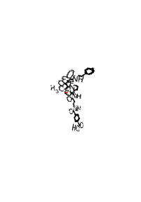 CC(C)C(C(=O)C(F)(F)C(=O)NCCc1ccccc1)N1CCC[C@H]1C(=O)NC(=O)CCNC(=O)c1ccc(C(=O)O)cc1